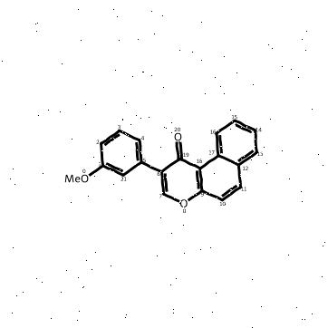 COc1cccc(-c2coc3ccc4ccccc4c3c2=O)c1